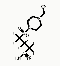 N#CCN1CCN(S(=O)(=O)C(F)(F)C(F)(F)C(F)(F)S(N)(=O)=O)CC1